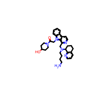 NCCCCN(Cc1nccc2c3ccccc3n(CC(=O)N3CCC(O)CC3)c12)C1CCCc2cccnc21